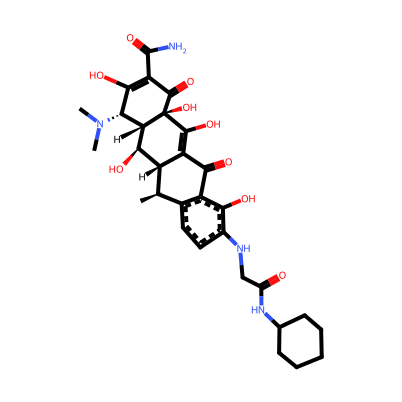 C[C@@H]1c2ccc(NCC(=O)NC3CCCCC3)c(O)c2C(=O)C2=C(O)[C@@]3(O)C(=O)C(C(N)=O)=C(O)[C@@H](N(C)C)[C@H]3[C@H](O)[C@H]21